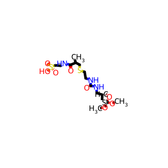 CO[Si](CCCNC(=O)NCCSCC(C)C(=O)NCCS(=O)(=O)O)(OC)OC